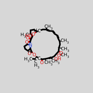 CO[C@H]1C(=O)[C@H](C)C[C@H](C)/C=C/C=C/C=C(\C)CC[C@@H]2CC[C@@H](C)[C@@](O)(O2)C(=O)C(=O)N2CCCC[C@H]2C(=O)O[C@H](C(C)C)CC(=O)[C@H](C)/C=C(\C)[C@H]1O